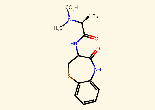 C[C@@H](C(=O)NC1CSc2ccccc2NC1=O)N(C)C(=O)O